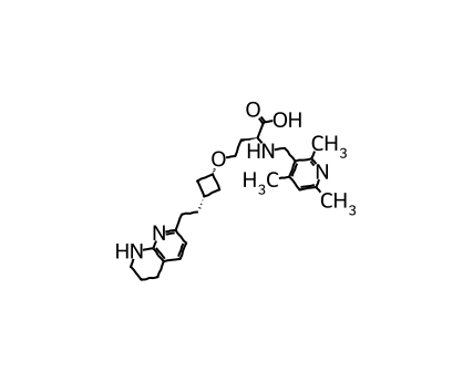 Cc1cc(C)c(CN[C@@H](CCO[C@H]2C[C@@H](CCc3ccc4c(n3)NCCC4)C2)C(=O)O)c(C)n1